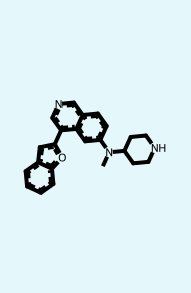 CN(c1ccc2cncc(-c3cc4ccccc4o3)c2c1)C1CCNCC1